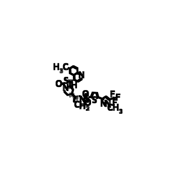 C=C[C@@H](CNS(=O)(=O)c1ccc(-c2cc(C(F)(F)F)n(C)n2)s1)[C@H]1CCN2C(=O)S[C@H](c3ccnc4ccc(C)cc34)[C@@H]2C1